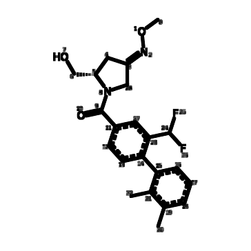 CO/N=C1\C[C@@H](CO)N(C(=O)c2ccc(-c3cccc(C)c3C)c(C(F)F)c2)C1